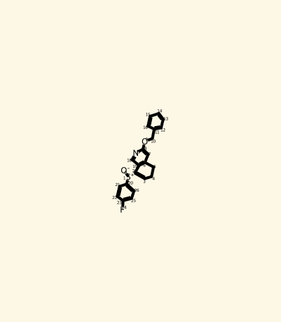 [O-][S+](C1=CCCc2cc(OCc3ccccc3)ncc21)c1ccc(F)cc1